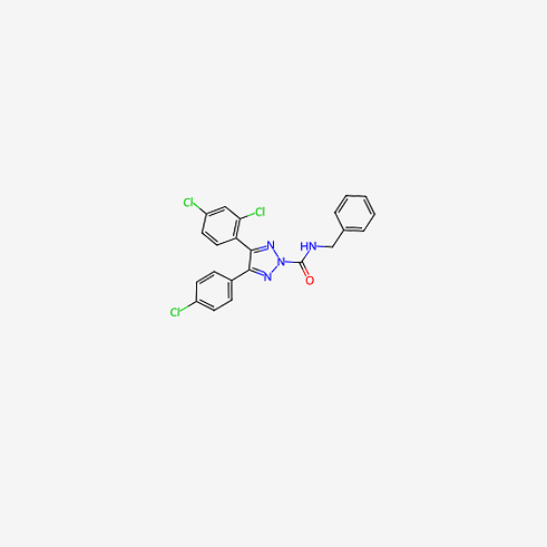 O=C(NCc1ccccc1)n1nc(-c2ccc(Cl)cc2)c(-c2ccc(Cl)cc2Cl)n1